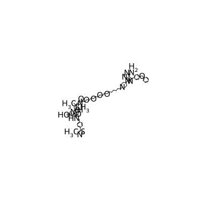 Cc1ncsc1-c1ccc(CNC(=O)[C@@H]2C[C@@H](O)CN2C(=O)CC(C)(C)CNC(=O)COCCOCCOCCOCCCCCCN2CCC(n3nc(-c4ccc(Oc5ccccc5)cc4)c4c(N)ncnc43)CC2)cc1